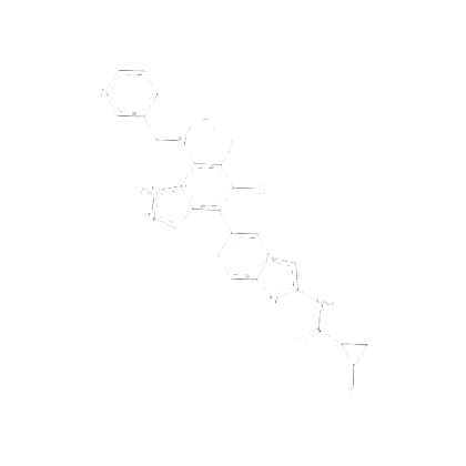 CN(Cc1cccnc1)c1c(F)c(Cl)c(-c2ccc3nc(NC(=O)C4CC4F)cn3c2)c2cn[nH]c12